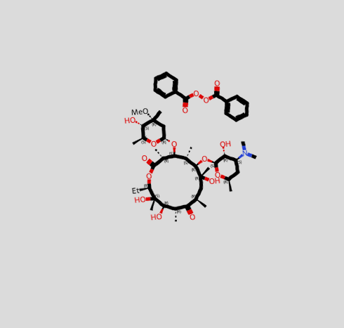 CC[C@H]1OC(=O)[C@H](C)[C@@H](O[C@H]2C[C@@](C)(OC)[C@@H](O)[C@H](C)O2)[C@H](C)[C@@H](O[C@@H]2O[C@H](C)C[C@H](N(C)C)[C@H]2O)[C@](C)(O)C[C@@H](C)C(=O)[C@H](C)[C@@H](O)[C@]1(C)O.O=C(OOC(=O)c1ccccc1)c1ccccc1